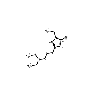 CCN(CC)CCSc1nc(N)n(CC)n1